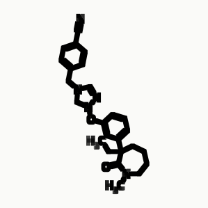 CCC1(c2cccc(ON3CN(Cc4ccc(C#N)cc4)C=N3)c2)CCCCN(C)C1=O